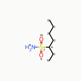 CCCCC(CC)S(N)(=O)=O